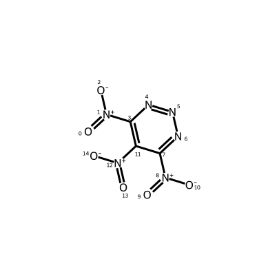 O=[N+]([O-])c1nnnc([N+](=O)[O-])c1[N+](=O)[O-]